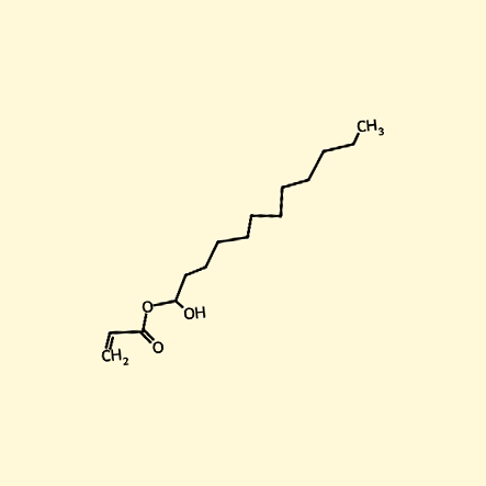 C=CC(=O)OC(O)CCCCCCCCCCC